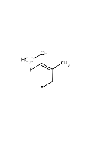 CC(=CF)CF.O=C(O)O